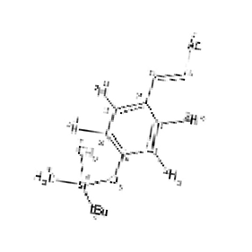 [2H]c1c([2H])c(O[Si](C)(C)C(C)(C)C)c([2H])c([2H])c1/C=C/C(C)=O